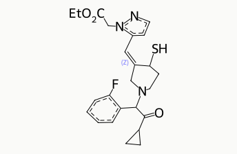 CCOC(=O)Cn1nccc1/C=C1/CN(C(C(=O)C2CC2)c2ccccc2F)CCC1S